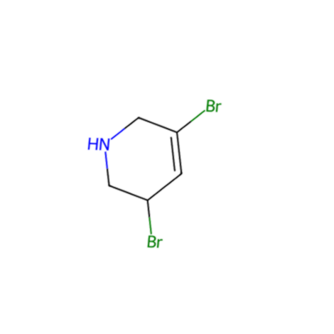 BrC1=CC(Br)CNC1